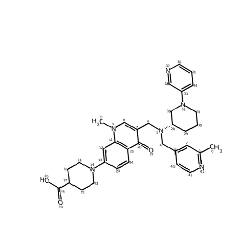 Cc1cc(CN(Cc2cn(C)c3cc(N4CCC(C(=O)O)CC4)ccc3c2=O)[C@H]2CCCN(c3cccnc3)C2)ccn1